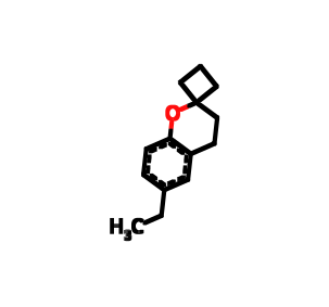 CCc1ccc2c(c1)CCC1(CCC1)O2